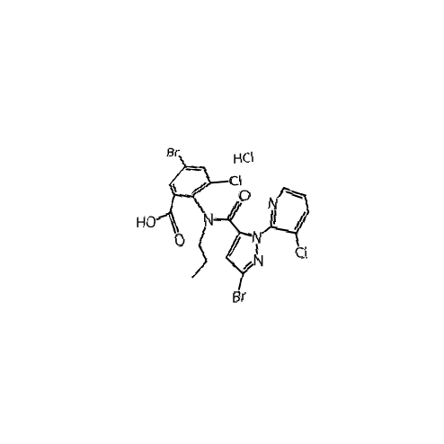 CCCN(C(=O)c1cc(Br)nn1-c1ncccc1Cl)c1c(Cl)cc(Br)cc1C(=O)O.Cl